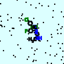 CNC1CCN(c2nnc(-c3ccc(Cl)cc3)c3cc(F)ccc23)C1.Cl